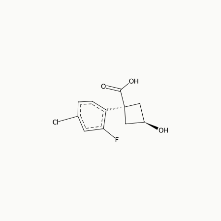 O=C(O)[C@]1(c2ccc(Cl)cc2F)C[C@H](O)C1